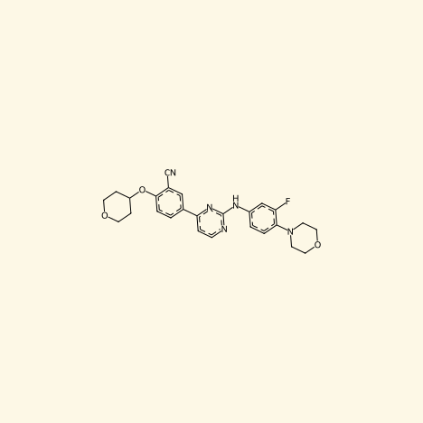 N#Cc1cc(-c2ccnc(Nc3ccc(N4CCOCC4)c(F)c3)n2)ccc1OC1CCOCC1